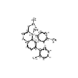 CCOCC1=NCc2ccc(-c3ncccc3Cl)cc2[N+]1(N)c1ccc(C(C)(C)C)nc1